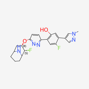 Cn1cc(-c2cc(O)c(-c3ccc(O[C@@H]4CC5CCCC(N5)[C@@H]4F)nn3)cc2F)cn1